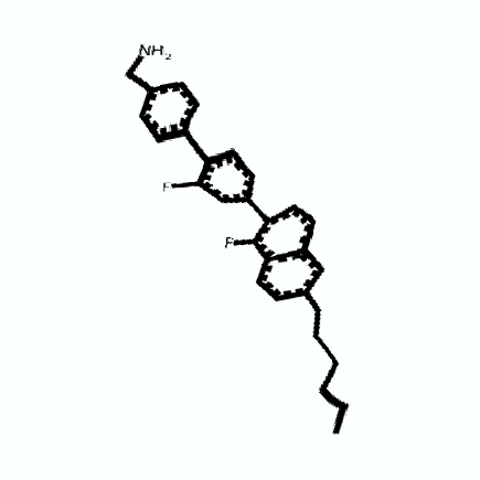 CCCCCCc1ccc2c(F)c(-c3ccc(-c4ccc(CN)cc4)c(F)c3)ccc2c1